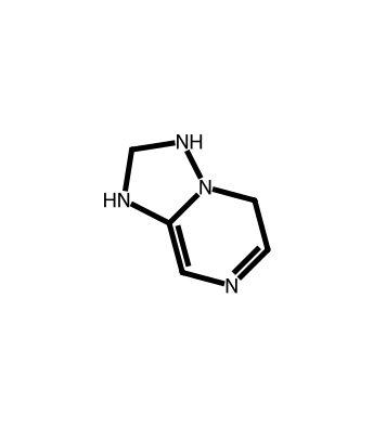 C1=NC=C2NCNN2C1